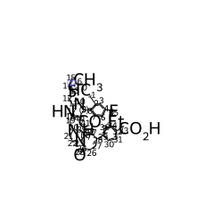 C#Cc1cc(F)ccc1[C@@H]1N=C(CS/C=C\C)NC(CN2CCN3C(=O)CCC(c4ccc(C(=O)O)c(F)c4)C[C@@H]3C2)=C1C(=O)OCC